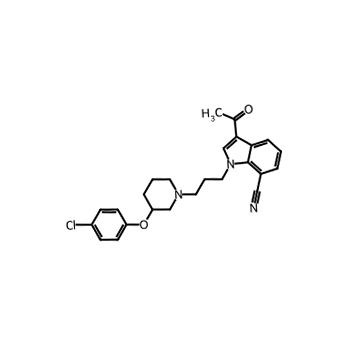 CC(=O)c1cn(CCCN2CCCC(Oc3ccc(Cl)cc3)C2)c2c(C#N)cccc12